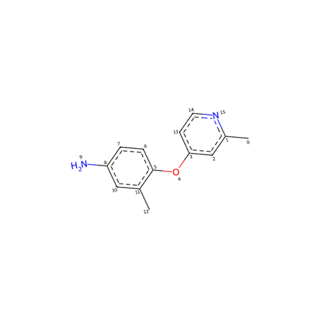 Cc1cc(Oc2ccc(N)cc2C)ccn1